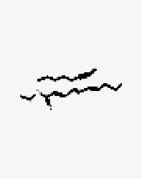 CC#CCCCCC.CCCC=CC=CC=CC(=O)OCC